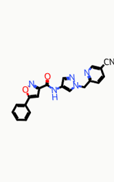 N#Cc1ccc(Cn2cc(NC(=O)c3cc(-c4ccccc4)on3)cn2)nc1